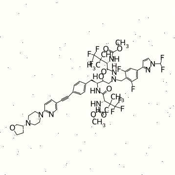 COC(=O)N[C@H](C(=O)N[C@@H](Cc1ccc(C#Cc2ccc(N3CCN([C@@H]4CCOC4)CC3)nc2)cc1)[C@@H](O)CN(Cc1c(F)cc(-c2ccn(C(F)F)n2)cc1F)NC(=O)[C@@H](NC(=O)OC)C(C)(C)C(F)(F)F)C(C)(C)C(F)(F)F